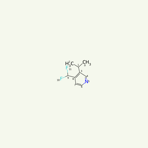 CC(C)c1cnccc1C(F)F